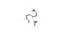 CO[C@H](COC(C)=O)[C@@H](OC(C)=O)[C@@H]1OC(O)(C(=O)O)C[C@H](O)[C@H]1NC(=O)CO